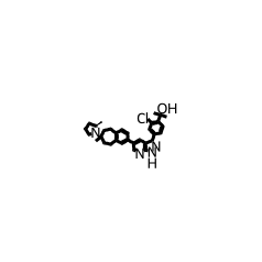 C[C@@H]1CCCN1C1(C)CCc2ccc(-c3cnc4[nH]nc(-c5ccc(C(C)(C)O)c(Cl)c5)c4c3)cc2CC1